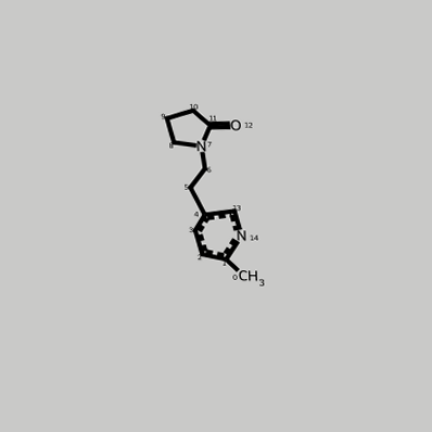 Cc1ccc(CCN2CCCC2=O)cn1